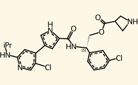 CC(C)Nc1cc(-c2c[nH]c(C(=O)N[C@H](COC(=O)C3CNC3)c3cccc(Cl)c3)c2)c(Cl)cn1